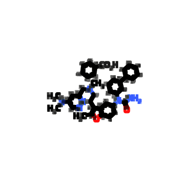 Cc1oc2ccc(N(C(N)=O)c3cccc(-c4ccccc4)c3)cc2c1CCN(C)Cc1cc(N(C)C)cnn1.O=C(O)c1ccccc1